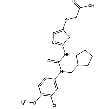 COc1ccc(N(CC2CCCC2)C(=O)Nc2ncc(SCC(=O)O)s2)cc1Cl